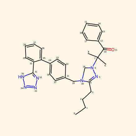 CCCCC1=NN(C(C)(C)C(=O)c2ccccc2)CN1Cc1ccc(-c2ccccc2-c2nnn[nH]2)cc1